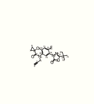 C#CCN1C(=O)C2(CC2)Oc2cc(F)c(-n3nc(C(C)(C)C)oc3=O)cc21